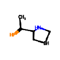 CC(=P)C1CBCN1